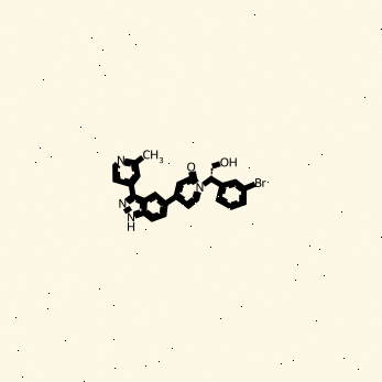 Cc1cc(-c2n[nH]c3ccc(-c4ccn([C@H](CO)c5cccc(Br)c5)c(=O)c4)cc23)ccn1